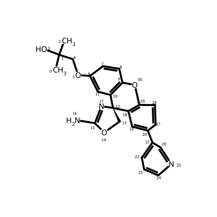 CC(C)(O)COc1ccc2c(c1)[C@]1(COC(N)=N1)c1cc(-c3cccnc3)ccc1O2